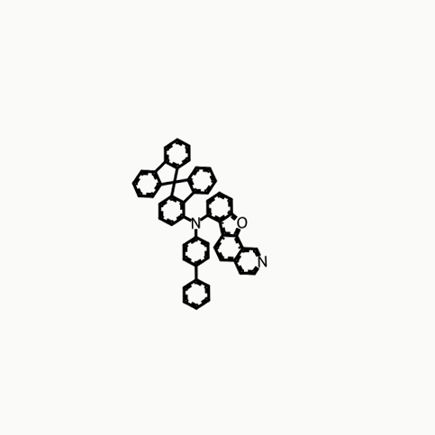 c1ccc(-c2ccc(N(c3cccc4c3-c3ccccc3C43c4ccccc4-c4ccccc43)c3cccc4oc5c6cnccc6ccc5c34)cc2)cc1